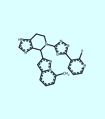 Cc1cccc2cc(C3c4nc[nH]c4CCN3c3nnc(-c4cccnc4F)o3)nn12